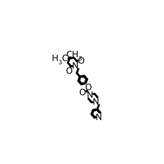 CC1(C)CC(=O)N(CCc2ccc(OC(=O)N3CCN(Cc4cccnc4)CC3)cc2)C(=O)C1